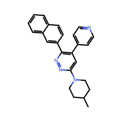 CC1CCN(c2cc(-c3ccncc3)c(-c3ccc4ccccc4c3)nn2)CC1